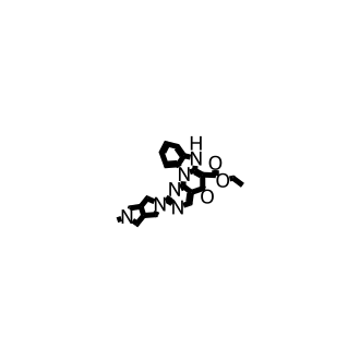 CCOC(=O)c1c(=O)c2cnc(N3CC4CN(C)CC4C3)nc2n2c1[nH]c1ccccc12